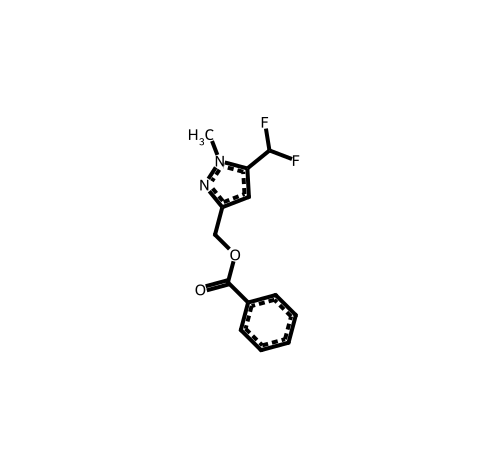 Cn1nc(COC(=O)c2ccccc2)cc1C(F)F